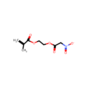 C=C(C)C(=O)OCCOC(=O)C[N+](=O)[O-]